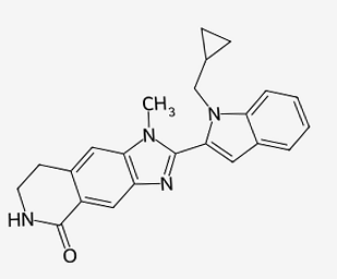 Cn1c(-c2cc3ccccc3n2CC2CC2)nc2cc3c(cc21)CCNC3=O